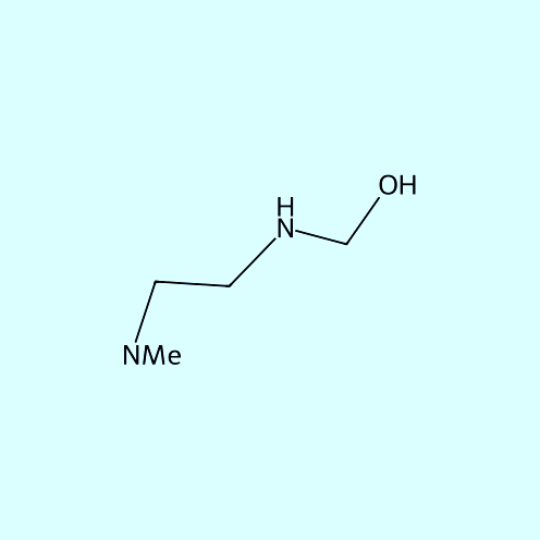 CNCCNCO